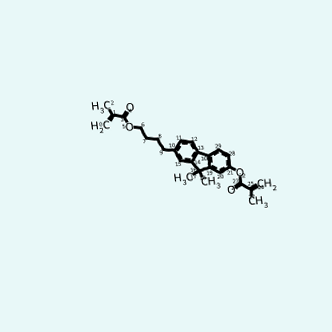 C=C(C)C(=O)OCCCCc1ccc2c(c1)C(C)(C)c1cc(OC(=O)C(=C)C)ccc1-2